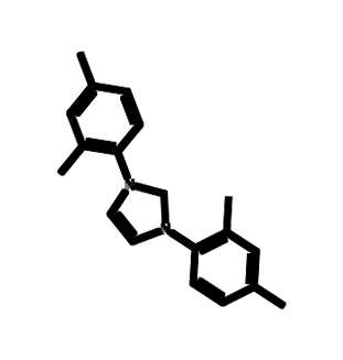 Cc1ccc(N2C=CN(c3ccc(C)cc3C)C2)c(C)c1